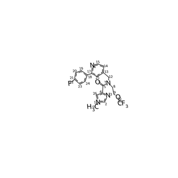 Cn1cnc(C(=O)N(CCOC(F)(F)F)Cc2ccnc(-c3ccc(F)cc3)c2)c1